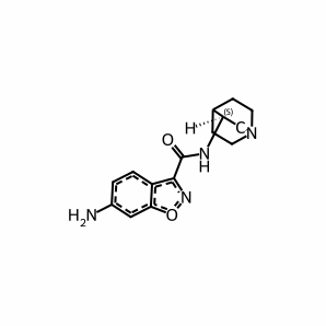 Nc1ccc2c(C(=O)N[C@@H]3CN4CCC3CC4)noc2c1